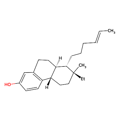 C/C=C/CCC[C@H]1[C@@H]2CCc3cc(O)ccc3[C@H]2CC[C@]1(C)CC